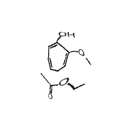 CCOC(C)=O.COc1ccccc1O